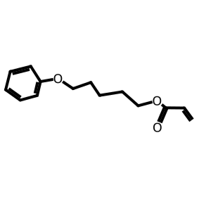 C=CC(=O)OCCCCCOc1ccccc1